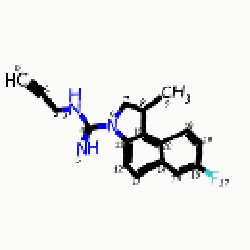 C#CCNC(=N)N1CC(C)c2c1ccc1cc(F)ccc21